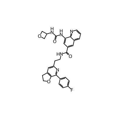 O=C(Nc1cc(C(=O)NCCc2cc3c(c(-c4ccc(F)cc4)n2)OCC3)cc2cccnc12)NC1COC1